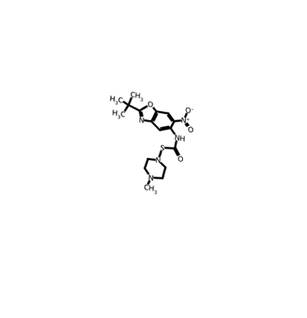 CN1CCN(SC(=O)Nc2cc3nc(C(C)(C)C)oc3cc2[N+](=O)[O-])CC1